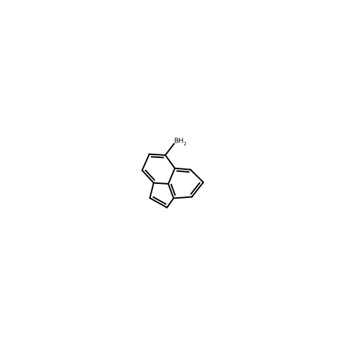 Bc1ccc2c3c(cccc13)C=C2